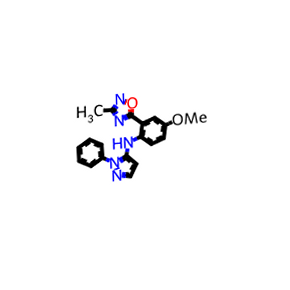 COc1ccc(Nc2ccnn2-c2ccccc2)c(-c2nc(C)no2)c1